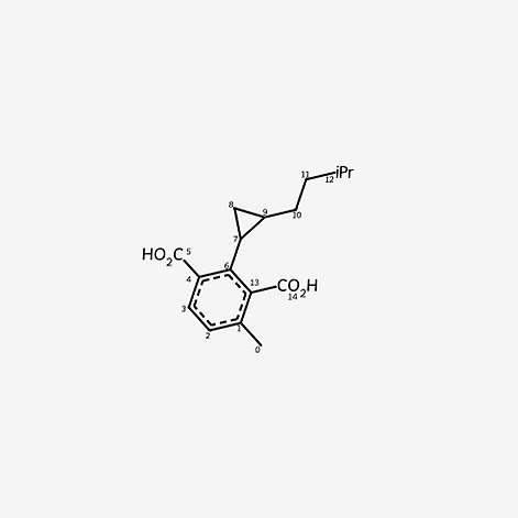 Cc1ccc(C(=O)O)c(C2CC2CCC(C)C)c1C(=O)O